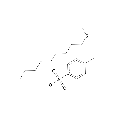 CCCCCCCCC[S+](C)C.Cc1ccc(S(=O)(=O)[O-])cc1